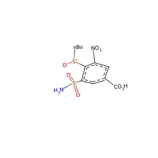 CCCC[S+]([O-])c1c([N+](=O)[O-])cc(C(=O)O)cc1S(N)(=O)=O